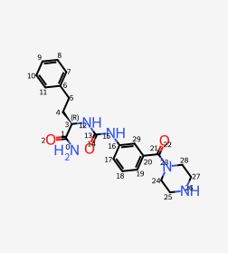 NC(=O)[C@@H](CCc1ccccc1)NC(=O)Nc1cccc(C(=O)N2CCNCC2)c1